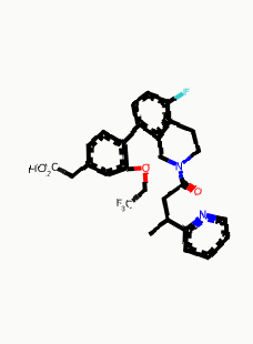 CC(CC(=O)N1CCc2c(F)ccc(-c3ccc(CC(=O)O)cc3OCC(F)(F)F)c2C1)c1ccccn1